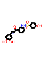 O=C(/C=C/c1ccc(O)c(O)c1)c1cccc(NS(=O)(=O)c2ccc(O)cc2)c1